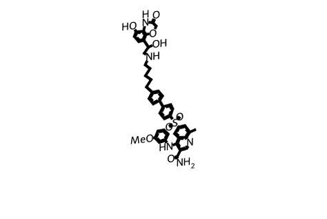 COc1cccc(Nc2c(C(N)=O)cnc3c(C)cc(S(=O)(=O)c4ccc(-c5ccc(CCCCCNCC(O)c6ccc(O)c7c6OCC(=O)N7)cc5)cc4)cc23)c1